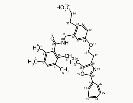 Cc1cc(C)c(C)c(C(=O)NCc2cc(OCCc3nc(-c4ccccc4)oc3C)ccc2CCC(=O)O)c1C